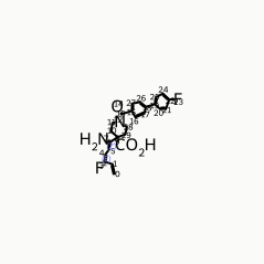 C=C/C(F)=C\C=C(/N)C1(C(=O)O)CCN(C(=O)c2ccc(-c3ccc(F)cc3)cc2)CC1